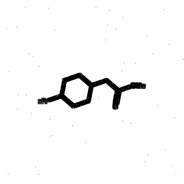 CCCC1CCC(CC(=O)OC)CC1